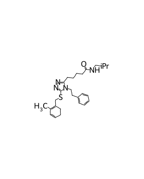 CC1=C(CSc2nnc(CCCCC(=O)NCC(C)C)n2CCc2ccccc2)CCC=C1